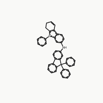 C1=Cc2c(n(-c3ccccc3)c3cc(Nc4ccc5c(c4)C(c4ccccc4)(c4ccccc4)c4ccccc4-5)ccc23)CC1